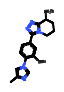 CCOC(=O)C1CCCn2c(-c3ccc(-n4cnc(C)c4)c(OC)c3)nnc21